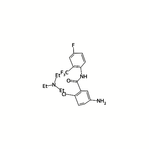 CCN(CC)CC.Nc1ccc(Cl)c(C(=O)Nc2ccc(F)cc2C(F)(F)F)c1